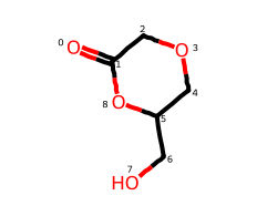 O=C1COCC(CO)O1